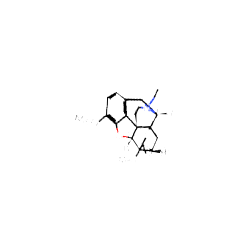 COc1ccc2c3c1O[C@H]1C4(OC)[C@@H](C(C)=O)CC5(C[C@@H]4C)[C@@H](C2)N(C)CC[C@]315